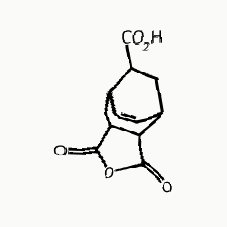 O=C(O)C1CC2C=CC1C1C(=O)OC(=O)C21